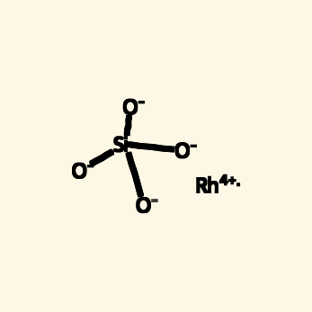 [O-][Si]([O-])([O-])[O-].[Rh+4]